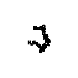 COC(=O)C(C)(C)COc1ccc(-n2ccc(C(C)c3ccc4c(c3)sc(=O)n4COCC[SiH3])n2)nc1